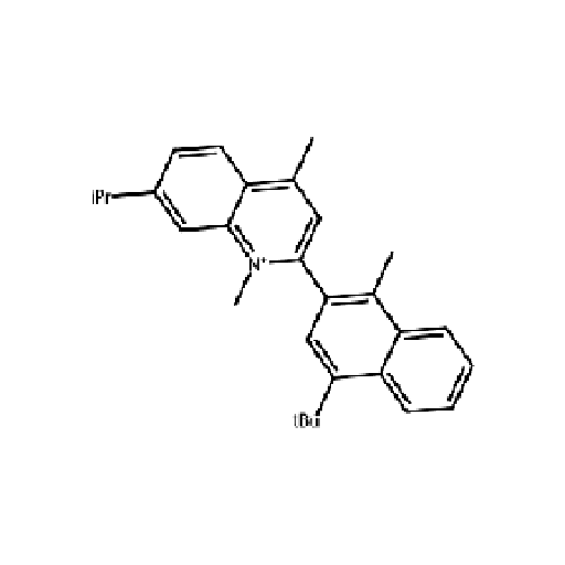 Cc1c(-c2cc(C)c3ccc(C(C)C)cc3[n+]2C)cc(C(C)(C)C)c2ccccc12